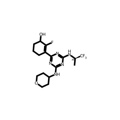 C[C@@H](Nc1nc(NC2CCOCC2)nc(C2=C(F)C(O)CCC2)n1)C(F)(F)F